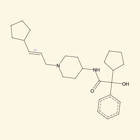 O=C(NC1CCN(C/C=C/C2CCCC2)CC1)C(O)(c1ccccc1)C1CCCC1